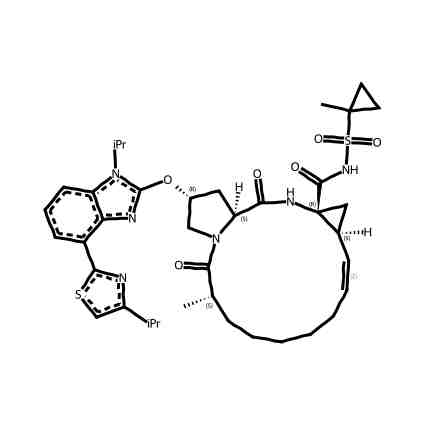 CC(C)c1csc(-c2cccc3c2nc(O[C@@H]2C[C@H]4C(=O)N[C@]5(C(=O)NS(=O)(=O)C6(C)CC6)C[C@H]5/C=C\CCCCC[C@H](C)C(=O)N4C2)n3C(C)C)n1